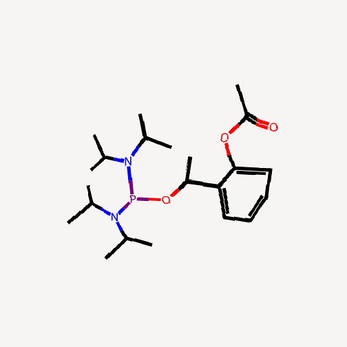 CC(=O)Oc1ccccc1C(C)OP(N(C(C)C)C(C)C)N(C(C)C)C(C)C